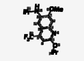 COc1cc2nc(OC(C)C)cc(C(F)(F)F)c2cc1NC(C)C